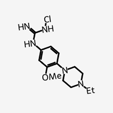 CCN1CCN(c2ccc(NC(=N)NCl)cc2OC)CC1